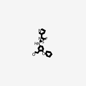 O=CCc1cc(Nc2nc(-c3cccnc3)c(F)s2)ccc1Oc1ccccc1